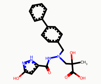 CC(O)(CN(Cc1ccc(-c2ccccc2)cc1)NC(=O)c1cc(O)n[nH]1)C(=O)O